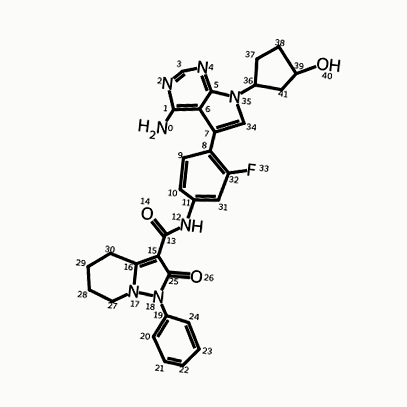 Nc1ncnc2c1c(-c1ccc(NC(=O)c3c4n(n(-c5ccccc5)c3=O)CCCC4)cc1F)cn2C1CCC(O)C1